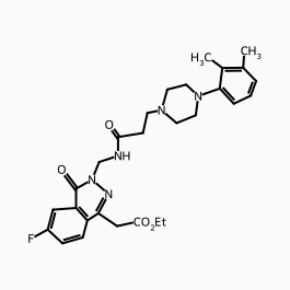 CCOC(=O)Cc1nn(CNC(=O)CCN2CCN(c3cccc(C)c3C)CC2)c(=O)c2cc(F)ccc12